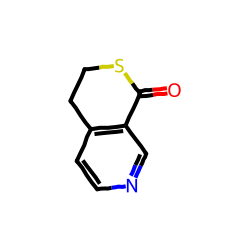 O=C1SCCc2ccncc21